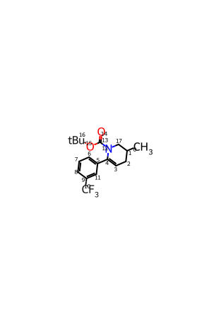 CC1CC=C(c2cccc(C(F)(F)F)c2)N(C(=O)OC(C)(C)C)C1